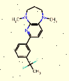 CN1CCCN(C)c2nc(-c3cccc(C(C)(F)F)c3)ccc21